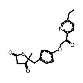 CCc1ccc(C(=O)COc2ccc(CC3(C)SC(=O)CC3=O)cc2)nc1